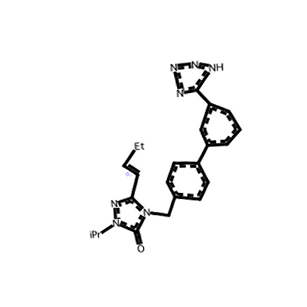 CC/C=C/c1nn(C(C)C)c(=O)n1Cc1ccc(-c2cccc(-c3nnn[nH]3)c2)cc1